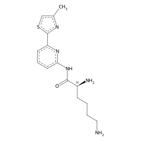 Cc1csc(-c2cccc(NC(=O)[C@@H](N)CCCCN)n2)n1